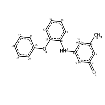 Cc1cc(=O)nc(Nc2ccccc2Oc2ccccc2)[nH]1